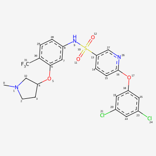 CN1CCC(Oc2cc(NS(=O)(=O)c3ccc(Oc4cc(Cl)cc(Cl)c4)nc3)ccc2C(F)(F)F)C1